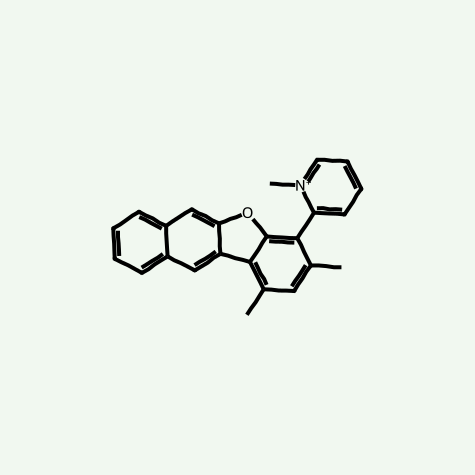 Cc1cc(C)c2c(oc3cc4ccccc4cc32)c1-c1cccc[n+]1C